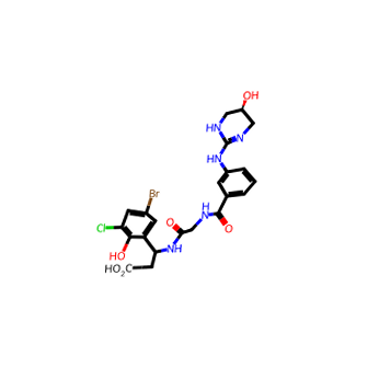 O=C(O)CC(NC(=O)CNC(=O)c1cccc(NC2=NC[C@H](O)CN2)c1)c1cc(Br)cc(Cl)c1O